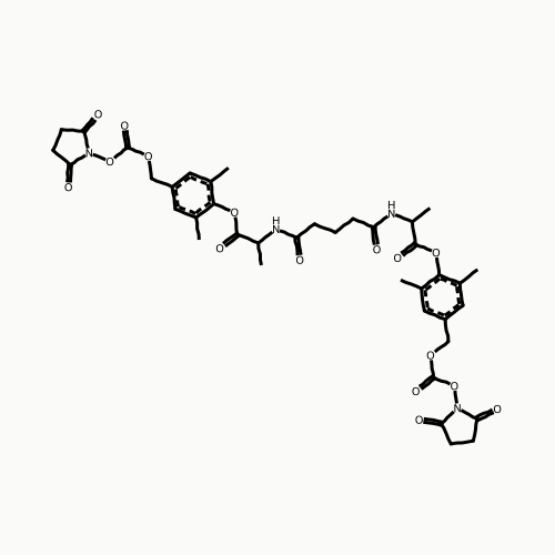 Cc1cc(COC(=O)ON2C(=O)CCC2=O)cc(C)c1OC(=O)C(C)NC(=O)CCCC(=O)NC(C)C(=O)Oc1c(C)cc(COC(=O)ON2C(=O)CCC2=O)cc1C